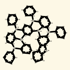 c1ccc(N2c3ccccc3B3c4cc5c(cc4N(c4ccccc4)c4cccc2c43)N(c2ccccc2)c2cccc3c2B5c2cc4c(cc2N3c2ccccc2)sc2ccccc24)cc1